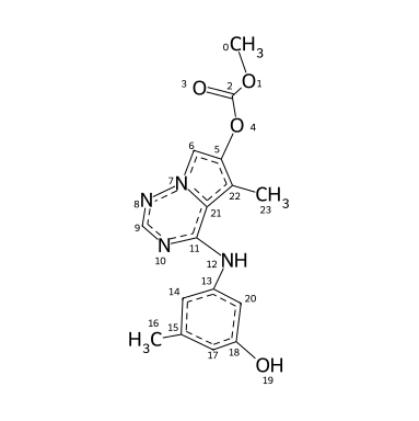 COC(=O)Oc1cn2ncnc(Nc3cc(C)cc(O)c3)c2c1C